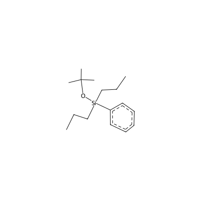 CCC[Si](CCC)(OC(C)(C)C)c1ccccc1